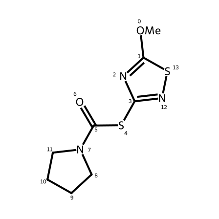 COc1nc(SC(=O)N2CCCC2)ns1